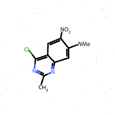 CNc1cc2nc(C)nc(Cl)c2cc1[N+](=O)[O-]